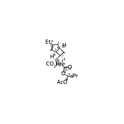 CCC1=C[C@H]2[C@@H](C1)C[C@@]2(CNC(=O)O[C@H](OC(C)=O)C(C)C)CC(=O)O